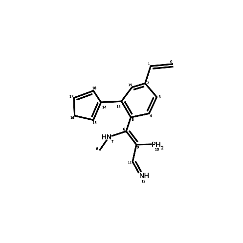 C=Cc1ccc(/C(NC)=C(\P)C=N)c(C2=CCC=C2)c1